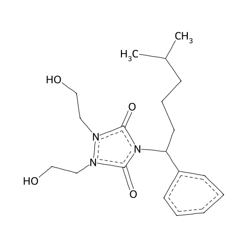 CC(C)CCCC(c1ccccc1)n1c(=O)n(CCO)n(CCO)c1=O